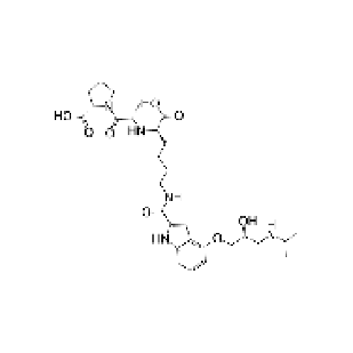 CC(C)NC[C@H](O)COc1cccc2[nH]c(C(=O)NCCCC[C@@H](N[C@@H](C)C(=O)N3CCC[C@H]3C(=O)O)C(=O)O)cc12